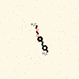 CCCOCCOc1ccc(CCC2CCC(CC)CC2)cc1